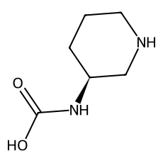 O=C(O)N[C@H]1CCCNC1